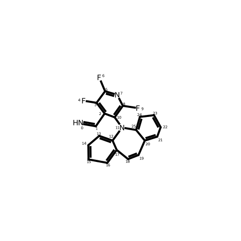 N=Cc1c(F)c(F)nc(F)c1N1c2ccccc2C=Cc2ccccc21